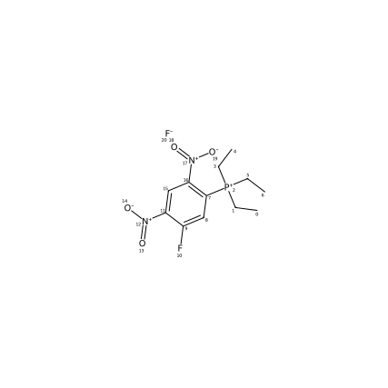 CC[P+](CC)(CC)c1cc(F)c([N+](=O)[O-])cc1[N+](=O)[O-].[F-]